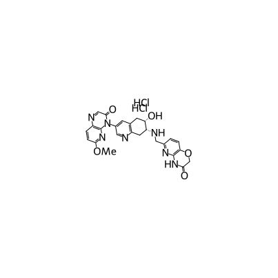 COc1ccc2ncc(=O)n(-c3cnc4c(c3)C[C@H](O)[C@H](NCc3ccc5c(n3)NC(=O)CO5)C4)c2n1.Cl.Cl